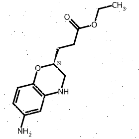 CCOC(=O)CC[C@H]1CNc2cc(N)ccc2O1